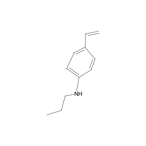 C=Cc1ccc(NCCC)cc1